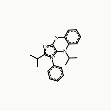 CC(C)c1oc2c([n+]1-c1ccccc1)N(C(C)C)c1ccccc1S2